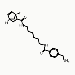 NCc1ccc(C(=O)NCCCCCCNC(=O)C2C[C@@H]3C=C[C@H]2C3)cc1